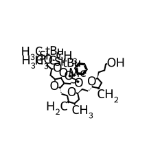 C=C1C(C[C@@H]2OC(CC(CO[Si](C)(C)C(C)(C)C)O[Si](C)(C)C(C)(C)C)[C@H](OC)C2CS(=O)(=O)c2ccccc2)O[C@@H](CC[C@@H]2O[C@@H](CCCO)CC2=C)C[C@H]1C